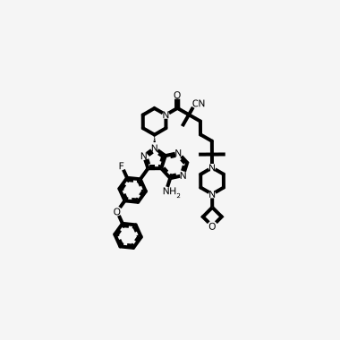 CC(C#N)(CCCC(C)(C)N1CCN(C2COC2)CC1)C(=O)N1CCC[C@@H](n2nc(-c3ccc(Oc4ccccc4)cc3F)c3c(N)ncnc32)C1